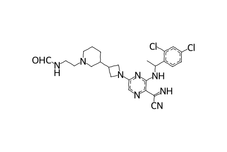 CC(Nc1nc(N2CC(C3CCCN(CCNC=O)C3)C2)cnc1C(=N)C#N)c1ccc(Cl)cc1Cl